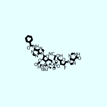 CC(C)(C)[Si](C)(C)O[C@@H]1C(COP(=O)(OCCC#N)O[C@@H]2C(CO)OC(n3cnc4c(=O)[nH]cnc43)[C@@H]2F)OC(n2cnc3c(NC(=O)c4ccccc4)ncnc32)[C@@H]1O[PH](=O)O